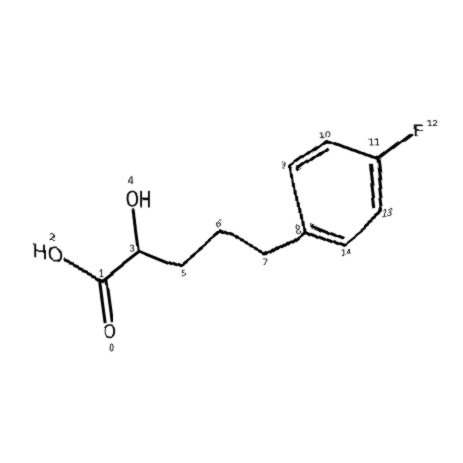 O=C(O)C(O)CCCc1ccc(F)cc1